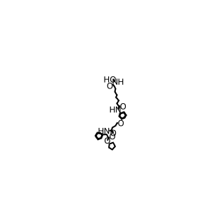 O=C(CCCCCCC(=O)Nc1cccc(OCCCC(=O)NC(C(=O)OC2CCCC2)c2ccccc2)c1)NO